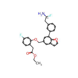 CCOC(=O)Cc1ccc(F)cc1OCc1cc(-c2cccc(C[C@@H](N)F)c2)c2occc2c1